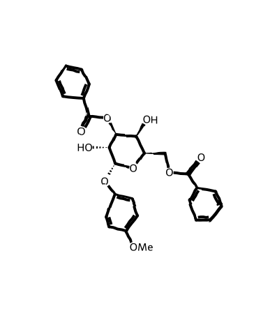 COc1ccc(O[C@H]2O[C@H](COC(=O)c3ccccc3)[C@H](O)[C@H](OC(=O)c3ccccc3)[C@H]2O)cc1